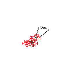 C#CC#CC#CC#CC(=O)OC[C@H](COP(=O)(O)OC1C(O)[C@H](O)[C@H](O)C(OP(=O)(O)O)[C@@H]1O)OC(=O)CCCCCCCCCCCCCCC